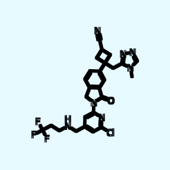 Cn1cnnc1CC1(c2ccc3c(c2)C(=O)N(c2cc(CNCCC(F)(F)F)cc(Cl)n2)C3)CC(C#N)C1